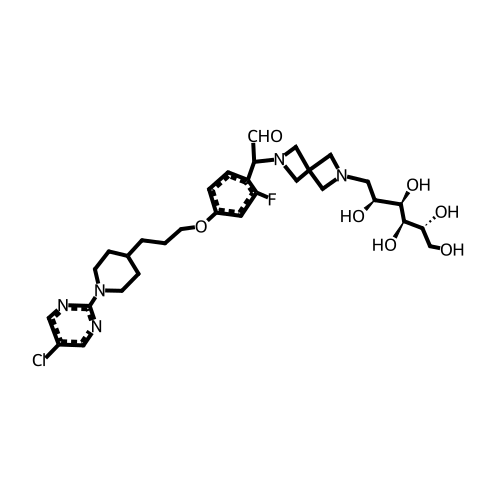 O=CC(c1ccc(OCCCC2CCN(c3ncc(Cl)cn3)CC2)cc1F)N1CC2(CN(C[C@H](O)[C@@H](O)[C@H](O)[C@H](O)CO)C2)C1